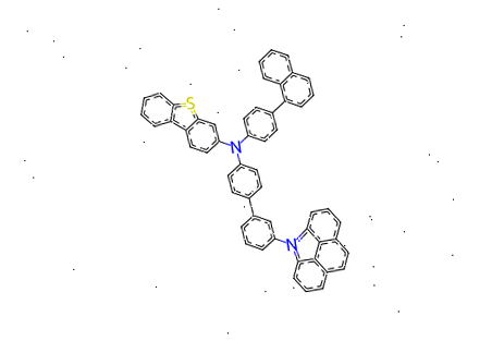 c1cc(-c2ccc(N(c3ccc(-c4cccc5ccccc45)cc3)c3ccc4c(c3)sc3ccccc34)cc2)cc(-n2c3cccc4ccc5cccc2c5c43)c1